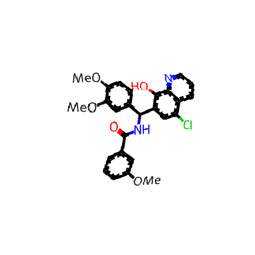 COc1cccc(C(=O)NC(c2ccc(OC)c(OC)c2)c2cc(Cl)c3cccnc3c2O)c1